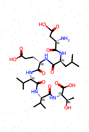 CC(C)C[C@H](NC(=O)[C@@H](N)CC(=O)O)C(=O)N[C@@H](CCC(=O)O)C(=O)N[C@H](C(=O)N[C@H](C(=O)N[C@H](C(=O)O)[C@@H](C)O)C(C)C)C(C)C